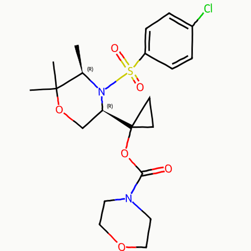 C[C@H]1N(S(=O)(=O)c2ccc(Cl)cc2)[C@@H](C2(OC(=O)N3CCOCC3)CC2)COC1(C)C